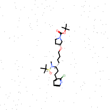 CN([C@H](CCCCO[C@@H]1CCN(C(=O)OC(C)(C)C)C1)CCc1cccnc1Cl)[S@+]([O-])C(C)(C)C